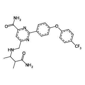 CC(NCc1cc(C(N)=O)nc(-c2ccc(Oc3ccc(C(F)(F)F)cc3)cc2)n1)C(C)C(N)=O